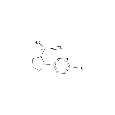 Cc1ccc(C2CCCN2[C@H](C)C#N)cn1